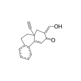 C#CC12CCc3ccccc3C1=CC(=O)C(=CO)C2